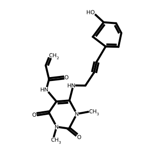 C=CC(=O)Nc1c(NCC#Cc2cccc(O)c2)n(C)c(=O)n(C)c1=O